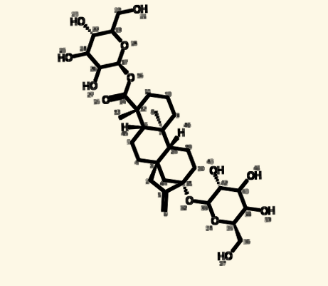 C=C1C[C@@]23CC[C@H]4[C@@](C)(CCC[C@@]4(C)C(=O)O[C@@H]4OC(CO)[C@@H](O)C(O)C4O)[C@@H]2CC[C@]1(OC1O[C@H](CO)C(O)C(O)[C@H]1O)C3